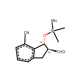 CC(C)(C)[Si](C)(C)O[C@H]1c2c(C#N)cccc2C[C@@H]1C=O